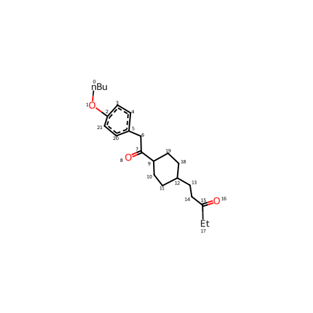 CCCCOc1ccc(CC(=O)C2CCC(CCC(=O)CC)CC2)cc1